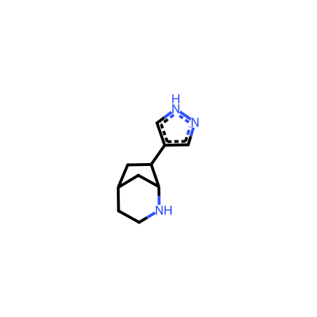 c1n[nH]cc1C1CC2CCNC1C2